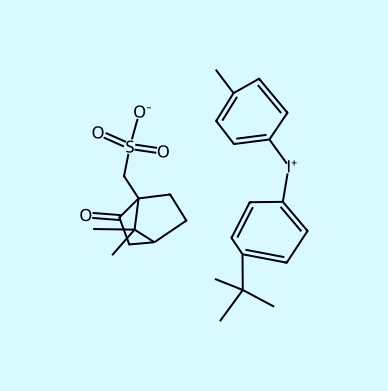 CC1(C)C2CCC1(CS(=O)(=O)[O-])C(=O)C2.Cc1ccc([I+]c2ccc(C(C)(C)C)cc2)cc1